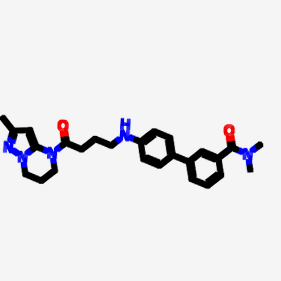 Cc1cc2n(n1)CCCN2C(=O)CCCNc1ccc(-c2cccc(C(=O)N(C)C)c2)cc1